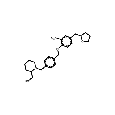 O=[N+]([O-])c1cc(CN2CCCO2)ccc1NCc1ccc(CN2CCCCC2CO)cc1